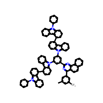 Cc1cc(-c2nc(-c3cc(-n4c5ccccc5c5c(-c6cccc7c6c6ccccc6n7-c6ccccc6)cccc54)cc(-n4c5ccccc5c5c(-c6cccc7c6c6ccccc6n7-c6ccccc6)cccc54)c3)nc3c2ccc2ccccc23)cc(C(F)(F)F)c1